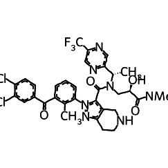 CNC(=O)[C@H](O)CN(C(=O)c1c2c(nn1-c1cccc(C(=O)c3ccc(Cl)c(Cl)c3)c1C)CCNC2)[C@@H](C)c1cnc(C(F)(F)F)cn1